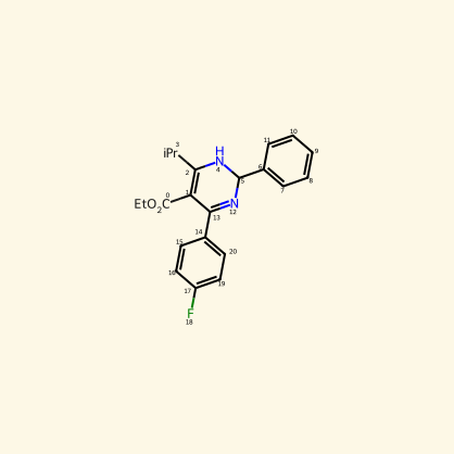 CCOC(=O)C1=C(C(C)C)NC(c2ccccc2)N=C1c1ccc(F)cc1